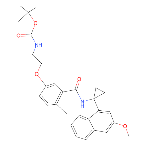 COc1cc(C2(NC(=O)c3cc(OCCNC(=O)OC(C)(C)C)ccc3C)CC2)c2ccccc2c1